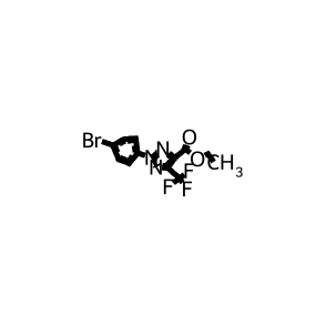 CCOC(=O)c1nn(-c2ccc(Br)cc2)nc1C(F)(F)F